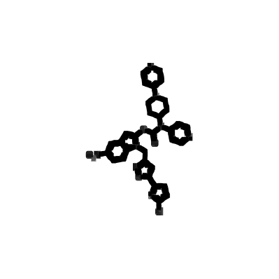 O=C(Oc1cc2cc([N+](=O)[O-])ccc2n1Cc1cc(-c2ccc(Cl)s2)on1)N(c1ccncc1)C1CCN(c2ccncc2)CC1